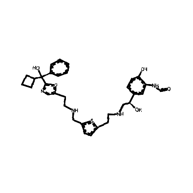 O=CNc1cc([C@@H](O)CNCCc2ccc(CNCCc3cnc(C(O)(c4ccccc4)C4CCC4)o3)s2)ccc1O